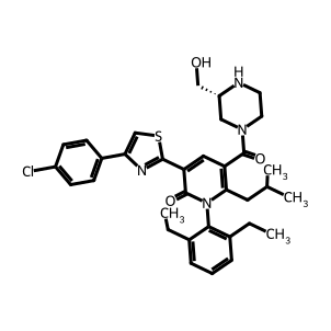 CCc1cccc(CC)c1-n1c(CC(C)C)c(C(=O)N2CCN[C@@H](CO)C2)cc(-c2nc(-c3ccc(Cl)cc3)cs2)c1=O